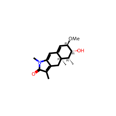 CO[C@@H]1C=C2C=C3C(=C(C)C(=O)N3C)C[C@]2(C)[C@@H](C)[C@H]1O